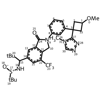 COC1CC(c2cccc(N3Cc4c(cc(C(N[S+]([O-])C(C)(C)C)C(C)(C)C)cc4C(F)(F)F)C3=O)c2)(c2nncn2C)C1